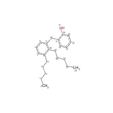 CCCCCc1cccc(Cc2ccccc2O)c1CCCCC